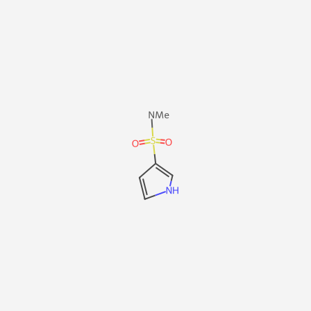 CNS(=O)(=O)c1cc[nH]c1